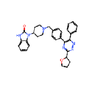 O=c1[nH]c2ccccc2n1C1CCN(Cc2ccc(-c3nc(C4CCCO4)nnc3-c3ccccc3)cc2)CC1